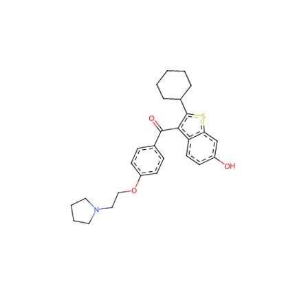 O=C(c1ccc(OCCN2CCCC2)cc1)c1c(C2CCCCC2)sc2cc(O)ccc12